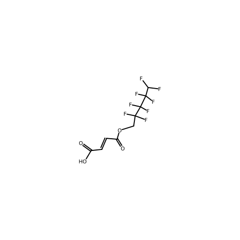 O=C(O)C=CC(=O)OCC(F)(F)C(F)(F)C(F)(F)C(F)F